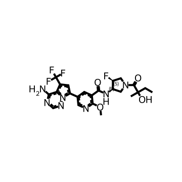 CCC(C)(O)C(=O)N1C[C@H](F)[C@H](NC(=O)c2cc(-c3cc(C(F)(F)F)c4c(N)ncnn34)cnc2OC)C1